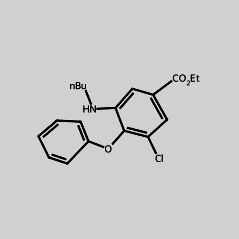 CCCCNc1cc(C(=O)OCC)cc(Cl)c1Oc1ccccc1